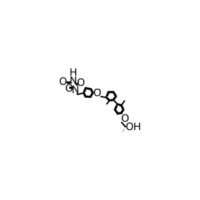 Cc1cc(OC[C@@H](C)O)ccc1-c1cccc(COc2ccc(Cn3oc(=O)[nH]c3=O)cc2)c1C